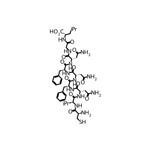 CC(C)C[C@H](NC(=O)CNC(=O)[C@H](CC(N)=O)NC(=O)[C@H](Cc1ccccc1)NC(=O)[C@H](CC(N)=O)NC(=O)[C@H](Cc1ccccc1)NC(=O)[C@H](CC(N)=O)NC(=O)[C@@H](NC(=O)[C@@H](N)CS)C(C)C)C(=O)O